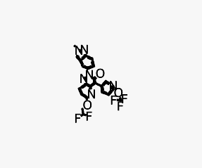 Cn1cc2cc(-n3nc4ccc(OCC(F)F)nc4c(-c4ccc(OC(F)(F)F)nc4)c3=O)ccc2n1